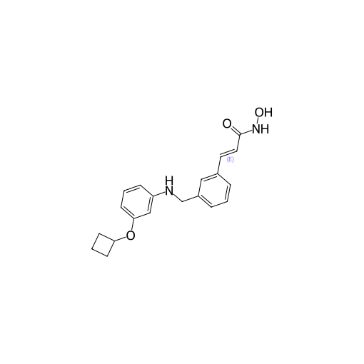 O=C(/C=C/c1cccc(CNc2cccc(OC3CCC3)c2)c1)NO